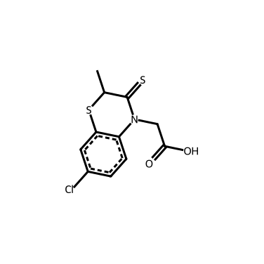 CC1Sc2cc(Cl)ccc2N(CC(=O)O)C1=S